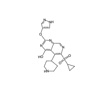 O=S(=O)(c1ncc2nc(Oc3cn[nH]c3)nc(O)c2c1C1CCNCC1)C1CC1